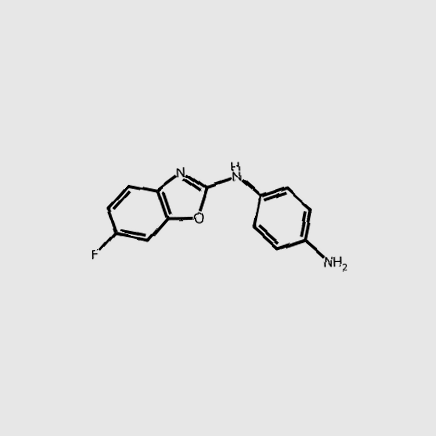 Nc1ccc(Nc2nc3ccc(F)cc3o2)cc1